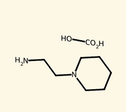 NCCN1CCCCC1.O=C(O)O